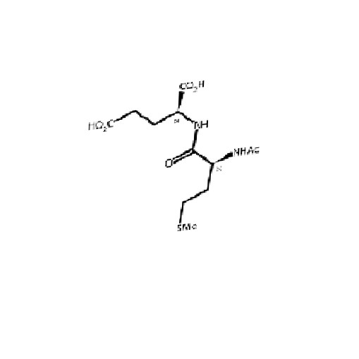 CSCC[C@H](NC(C)=O)C(=O)N[C@@H](CCC(=O)O)C(=O)O